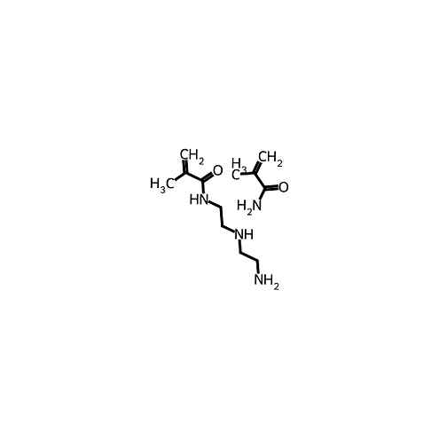 C=C(C)C(=O)NCCNCCN.C=C(C)C(N)=O